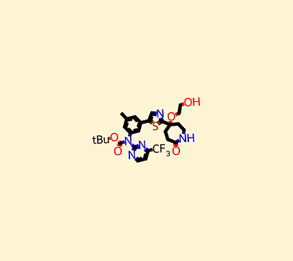 Cc1cc(-c2cnc(C3(OCCO)CCNC(=O)CC3)s2)cc(N(C(=O)OC(C)(C)C)c2nccc(C(F)(F)F)n2)c1